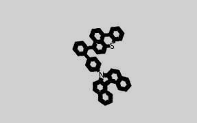 c1ccc2c(c1)Sc1ccc(-c3ccccc3-c3ccc(-n4c5ccc6ccccc6c5c5c6ccccc6ccc54)cc3)c3cccc-2c13